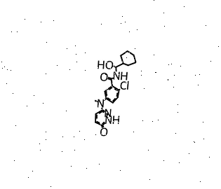 CN(c1ccc(Cl)c(C(=O)NC(O)C2CCCCC2)c1)c1ccc(=O)[nH]n1